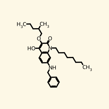 CCCCCCCCn1c(=O)c(OCC(C)CCC)c(O)c2ccc(NCc3ccccc3)cc21